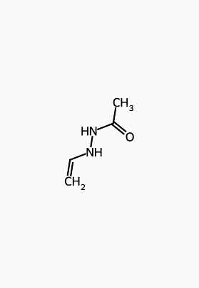 C=CNNC(C)=O